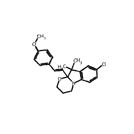 COc1ccc(/C=C/C23OCCCN2c2ccc(Cl)cc2C3(C)C)cc1